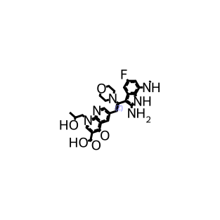 CNc1cc(F)cc2c(/C(=C/c3cnc4c(c3)c(=O)c(C(=O)O)cn4CC(C)O)N3CCOCC3)c(N)[nH]c12